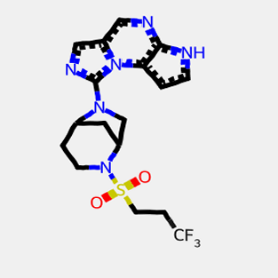 O=S(=O)(CCC(F)(F)F)N1CCC2CC1CN2c1ncc2cnc3[nH]ccc3n12